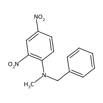 CN(Cc1ccccc1)c1ccc([N+](=O)[O-])cc1[N+](=O)[O-]